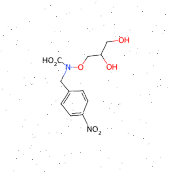 O=C(O)N(Cc1ccc([N+](=O)[O-])cc1)OCC(O)CO